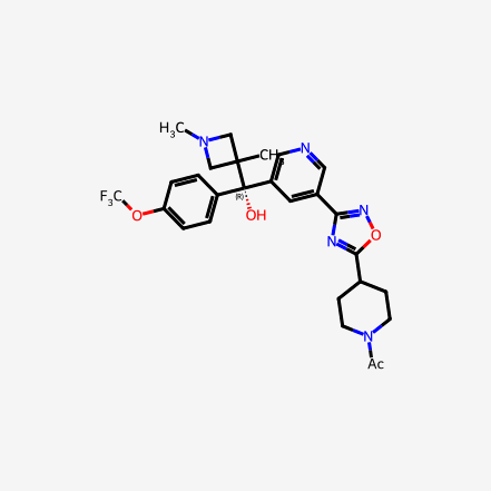 CC(=O)N1CCC(c2nc(-c3cncc([C@@](O)(c4ccc(OC(F)(F)F)cc4)C4(C)CN(C)C4)c3)no2)CC1